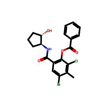 Cc1c(Br)cc(C(=O)N[C@H]2CCC[C@@H]2O)c(OC(=O)c2ccccc2)c1Cl